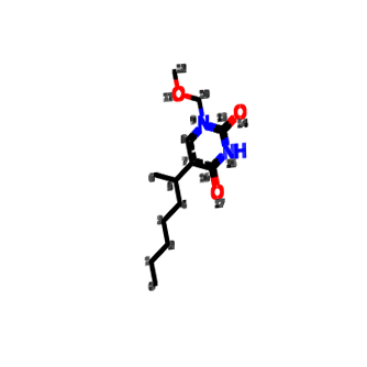 CCCCCC(C)c1cn(COC)c(=O)[nH]c1=O